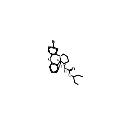 CCC(CC)OC(=O)N[C@H]1CCCN2c3cc(Br)ccc3Oc3ccccc3[C@@H]12